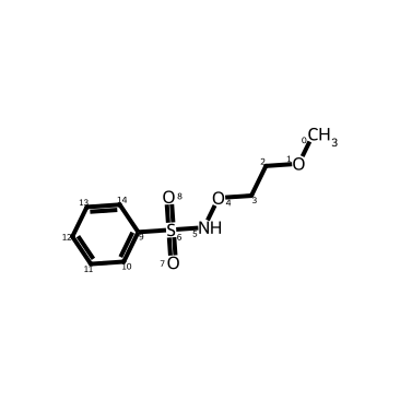 COCCONS(=O)(=O)c1ccccc1